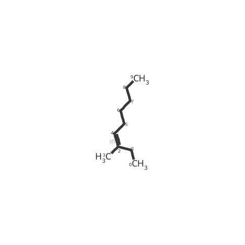 C[CH]/C(C)=C\CCCCC